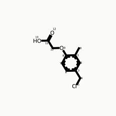 Cc1cc(CCl)ccc1OCC(=O)O